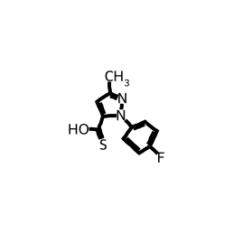 Cc1cc(C(O)=S)n(-c2ccc(F)cc2)n1